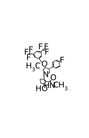 CNC(=O)C1=C(N2C[C@H](O[C@H](C)c3cc(C(F)(F)F)cc(C(F)(F)F)c3)[C@@H](c3ccc(F)cc3)C2)CCC1O